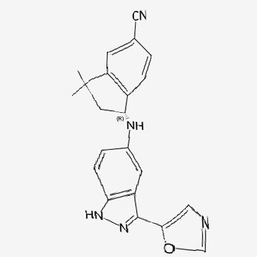 CC1(C)C[C@@H](Nc2ccc3[nH]nc(-c4cnco4)c3c2)c2ccc(C#N)cc21